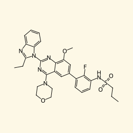 CCCS(=O)(=O)Nc1cccc(-c2cc(OC)c3nc(-n4c(CC)nc5ccccc54)nc(N4CCOCC4)c3c2)c1F